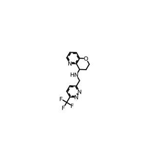 FC(F)(F)c1ccc(CNC2CCOc3cccnc32)nn1